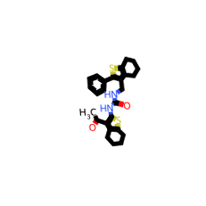 CC(=O)c1c(NC(=O)NCc2c(-c3ccccc3)sc3c2CCCC3)sc2c1CCCC2